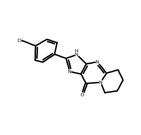 O=c1c2nc(-c3ccc(Cl)cc3)[nH]c2nc2n1CCCC2